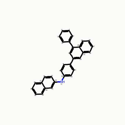 c1ccc(-c2cc(-c3ccc(Nc4ccc5ccccc5c4)cc3)cc3ccccc23)cc1